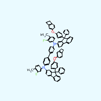 Cc1ccc(N(c2ccc(-c3ccc(N(c4ccc(C)c(F)c4)c4ccc5c(c4)C(c4ccccc4)(c4ccc(Oc6ccc7c(c6)CC7)cc4)c4ccccc4-5)cc3)cc2)c2ccc3c(c2)C(c2ccccc2)(c2ccc(Oc4ccc5c(c4)CC5)cc2)c2ccccc2-3)cc1F